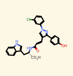 O=C(/C=C/c1cn(-c2cccc(Cl)c2)nc1-c1ccc(O)cc1)N[C@@H](Cc1c[nH]c2ccccc12)C(=O)O